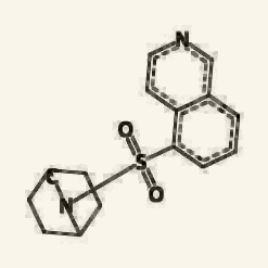 O=S(=O)(c1cccc2cnccc12)N1CC2CCC(CC2)C1